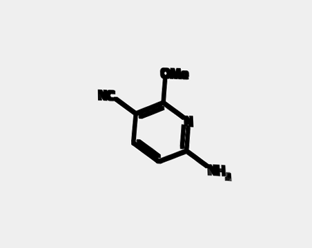 COc1nc(N)ccc1C#N